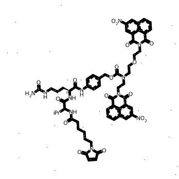 CC(C)C(NC(=O)CCCCCN1C(=O)C=CC1=O)C(=O)N[C@@H](CCCNC(N)=O)C(=O)Nc1ccc(COC(=O)N(CCOCCN2C(=O)c3cccc4cc([N+](=O)[O-])cc(c34)C2=O)CCN2C(=O)c3cccc4cc([N+](=O)[O-])cc(c34)C2=O)cc1